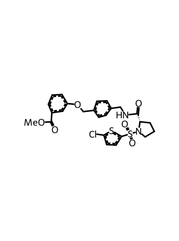 COC(=O)c1cccc(OCc2ccc(CNC(=O)[C@@H]3CCCN3S(=O)(=O)c3ccc(Cl)s3)cc2)c1